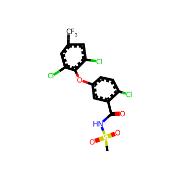 CS(=O)(=O)NC(=O)c1cc(Oc2c(Cl)cc(C(F)(F)F)cc2Cl)ccc1Cl